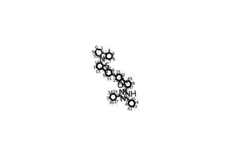 C1=CC2c3ccccc3N(c3cccc4c3sc3cc(-c5ccc6c(c5)oc5c(C7N=C(c8ccccc8)N=C(c8ccccc8)N7)cccc56)ccc34)C2C=C1